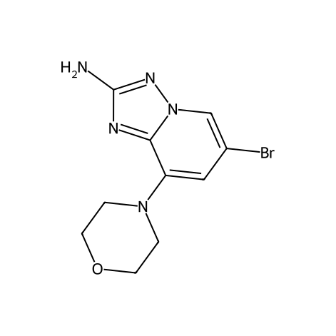 Nc1nc2c(N3CCOCC3)cc(Br)cn2n1